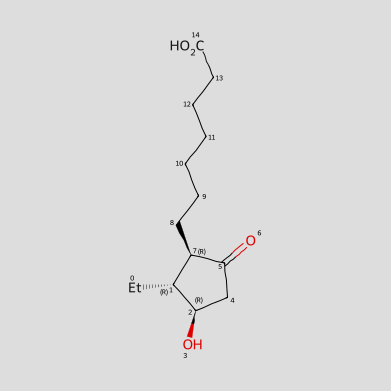 CC[C@H]1[C@H](O)CC(=O)[C@@H]1CCCCCCC(=O)O